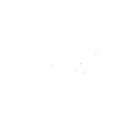 CC1(C)c2ccccc2-c2cccc(-c3cccc4ccc(-c5nc(-c6cccc(-c7ccccc7)c6)nc(-c6cccc(-c7ccccc7)c6)n5)cc34)c21